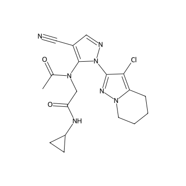 CC(=O)N(CC(=O)NC1CC1)c1c(C#N)cnn1-c1nn2c(c1Cl)CCCC2